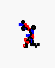 O=C(CCC(NC(=O)c1cc(OCC(=O)N2CCC[C@H]2C(=O)NC2CCC2)n(-c2ccccc2)n1)C(=O)N1CCN(C(=O)O)CC1)OC[C@@H]1CCCO1